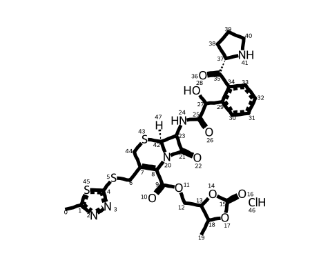 Cc1nnc(SCC2=C(C(=O)OCC3OC(=O)OC3C)N3C(=O)C(NC(=O)C(O)c4ccccc4C(=O)[C@@H]4CCCN4)[C@@H]3SC2)s1.Cl